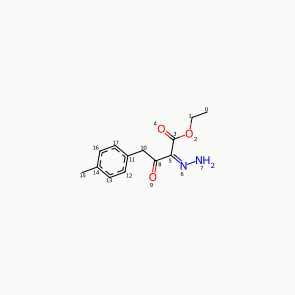 CCOC(=O)/C(=N\N)C(=O)Cc1ccc(C)cc1